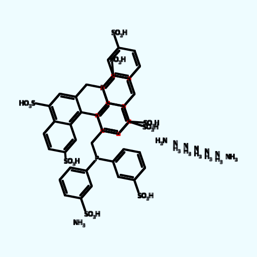 N.N.N.N.N.N.N.N.O=S(=O)(O)c1cccc(P(Cc2cc(S(=O)(=O)O)c3ccc(S(=O)(=O)O)cc3c2-c2c(CP(c3cccc(S(=O)(=O)O)c3)c3cccc(S(=O)(=O)O)c3)cc(S(=O)(=O)O)c3ccc(S(=O)(=O)O)cc23)c2cccc(S(=O)(=O)O)c2)c1